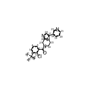 O=C(c1cccc(C(F)(F)F)c1Cl)N1CCn2c(-c3cccnc3)cnc2C1